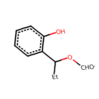 CCC(O[C]=O)c1ccccc1O